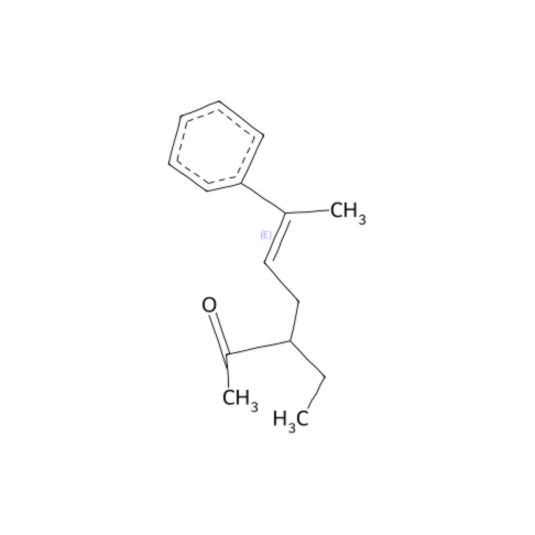 CCC(C/C=C(\C)c1ccccc1)C(C)=O